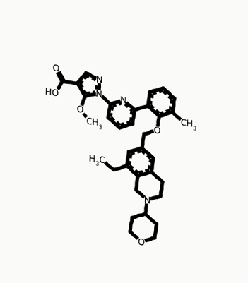 CCc1cc(COc2c(C)cccc2-c2cccc(-n3ncc(C(=O)O)c3OC)n2)cc2c1CN(C1CCOCC1)CC2